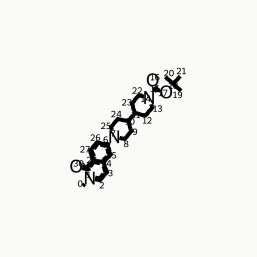 Cn1ccc2cc(N3CCC(C4CCN(C(=O)OC(C)(C)C)CC4)CC3)ccc2c1=O